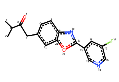 CC(C)C(=O)Cc1ccc2nc(-c3cncc(F)c3)oc2c1